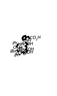 CC[C@H](C)[C@H](NC(=O)[C@@H](N)C(C)C)C(=O)N[C@@H](CC(C)C)C(=O)NC(CCC(O)C(=O)Nc1ccccc1CCC(=O)O)C(O)(O)O